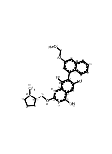 COCOc1cc(-c2c(Cl)cc3c(O)nc(OC[C@@H]4CCCN4C)nc3c2F)c2ccccc2c1